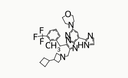 Cc1c(Cc2c(CN3CC(C4CCC4)C3)nc3c(-c4ncc[nH]4)cc(N4CCOCC4)nn23)cccc1C(F)(F)F